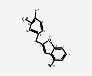 Fc1ccc(Cc2cc3c(Br)cccc3o2)cc1Cl